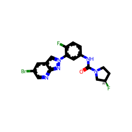 O=C(Nc1ccc(F)c(-n2cc3cc(Br)cnc3n2)c1)N1CC[C@@H](F)C1